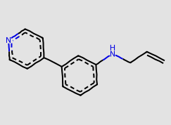 C=CCNc1cccc(-c2ccncc2)c1